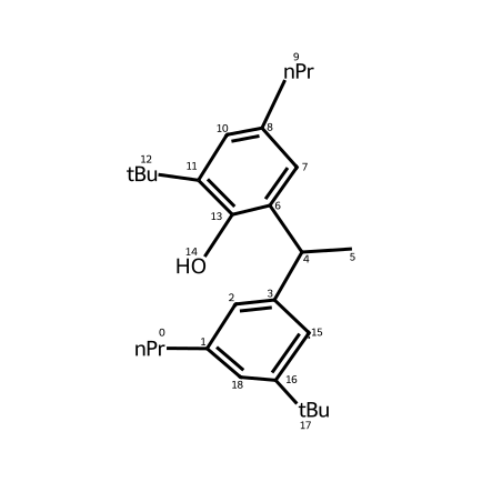 CCCc1cc(C(C)c2cc(CCC)cc(C(C)(C)C)c2O)[c]c(C(C)(C)C)c1